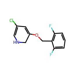 Fc1cccc(F)c1COC1=CC(Cl)=CNC1